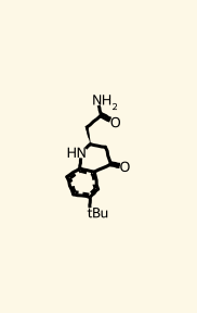 CC(C)(C)c1ccc2c(c1)C(=O)C[C@H](CC(N)=O)N2